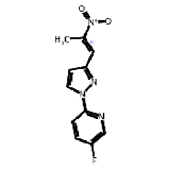 C/C(=C\c1ccn(-c2ccc(F)cn2)n1)[N+](=O)[O-]